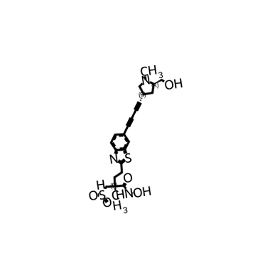 CN1C[C@@H](C#CC#Cc2ccc3nc(CC[C@@](C)(C[SH](=O)=O)C(=O)NO)sc3c2)C[C@@H]1CO